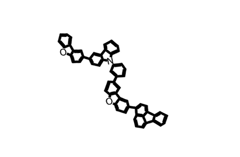 c1cc(-c2ccc3oc4ccc(-c5ccc6c7c(cccc57)-c5ccccc5-6)cc4c3c2)cc(-n2c3ccccc3c3cc(-c4ccc5oc6ccccc6c5c4)ccc32)c1